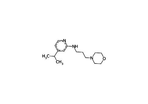 CC(C)c1ccnc(NCCCN2CCOCC2)c1